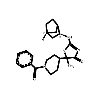 CC1(C2CCN(C(=O)c3ccccc3)CC2)SC(N[C@H]2C[C@@H]3CCC2C3)=NC1=O